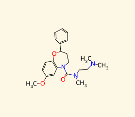 COc1ccc2c(c1)N(C(=O)N(C)CCN(C)C)CCC(c1ccccc1)O2